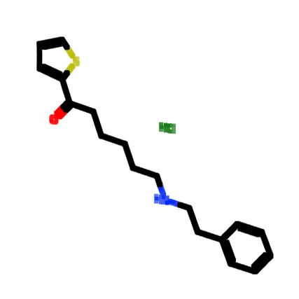 Cl.O=C(CCCCCNCCc1ccccc1)c1cccs1